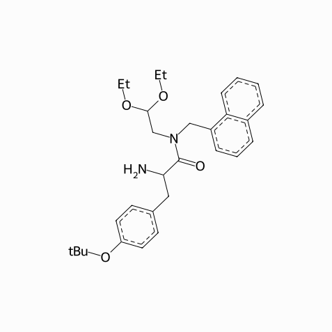 CCOC(CN(Cc1cccc2ccccc12)C(=O)C(N)Cc1ccc(OC(C)(C)C)cc1)OCC